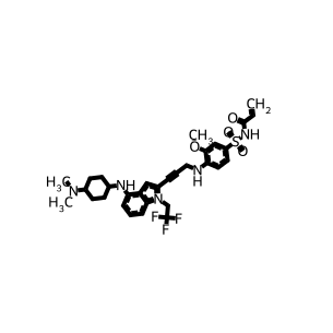 C=CC(=O)NS(=O)(=O)c1ccc(NCC#Cc2cc3c(NC4CCC(N(C)C)CC4)cccc3n2CC(F)(F)F)c(OC)c1